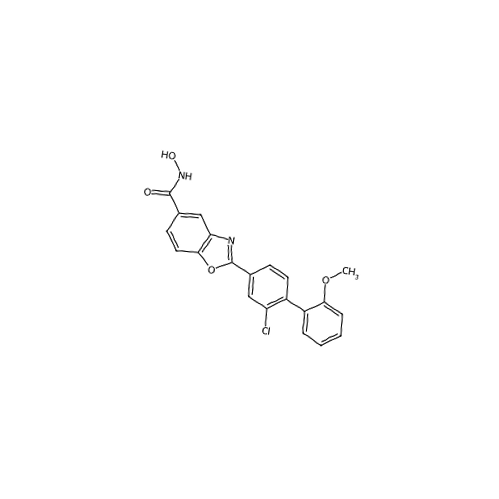 COc1ccccc1-c1ccc(-c2nc3cc(C(=O)NO)ccc3o2)cc1Cl